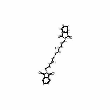 O=C1c2ccccc2C(=O)N1CCCNCCCCNCCCN1C(=O)c2ccccc2C1=O